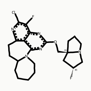 Fc1c(Cl)nc2c3c(nc(OC[C@@]45CCCN4C[C@H](F)C5)nc13)N1CCCCCC1CC2